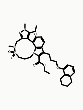 CCOC(=O)c1c(CCCOc2cccc3c2CCCC3)c2ccc(Cl)c3c2n1CCCS(=O)(=O)N(C)Cc1nn(C)c(CC)c1-3